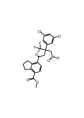 COC(=O)c1ccc(C(=O)CC(C[N+](=O)[O-])(c2cc(Cl)cc(Cl)c2)C(F)(F)F)c2c1CCC2